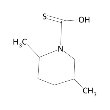 CC1CCC(C)N(C(O)=S)C1